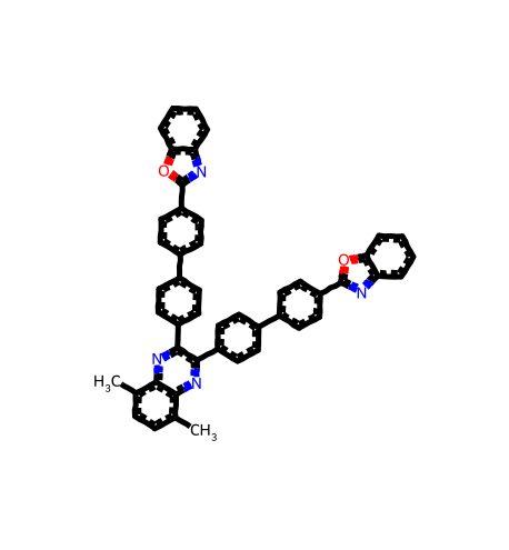 Cc1ccc(C)c2nc(-c3ccc(-c4ccc(-c5nc6ccccc6o5)cc4)cc3)c(-c3ccc(-c4ccc(-c5nc6ccccc6o5)cc4)cc3)nc12